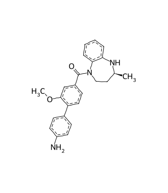 COc1cc(C(=O)N2CC[C@H](C)Nc3ccccc32)ccc1-c1ccc(N)cc1